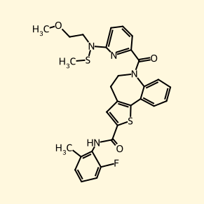 COCCN(SC)c1cccc(C(=O)N2CCc3cc(C(=O)Nc4c(C)cccc4F)sc3-c3ccccc32)n1